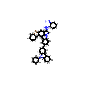 N=C1C=CC=CC1Nc1cn2c3ccc(-c4ccc5c(c4)c4ccccc4n5-c4ccccc4)cc3c3c4c(cc1c32)SC1C=CC=CC41